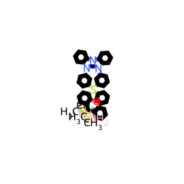 BS(C)(C)C1(S(B)(C)C)c2ccccc2Oc2c1cccc2S(c1ccccc1)(c1ccccc1)c1cccc(-n2c3ccccc3n3c4ccccc4nc23)c1